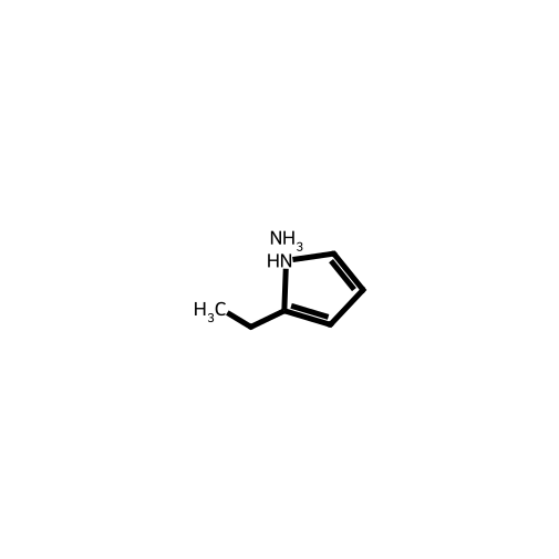 CCc1ccc[nH]1.N